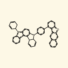 C1=CCC(n2c3ccccc3c3c4c(ccc32)N(c2ccc(-c3cccc5oc6cc7ccccc7cc6c35)cc2)C2C=CC=CC42)C=C1